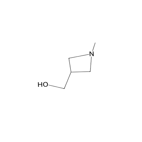 CN1CC(CO)C1